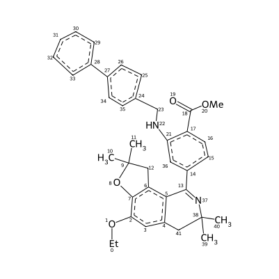 CCOc1cc2c(c3c1OC(C)(C)C3)C(c1ccc(C(=O)OC)c(NCc3ccc(-c4ccccc4)cc3)c1)=NC(C)(C)C2